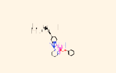 C[Si](C)(C)C#Cc1ccc2[nH]c([C@@H]3CCCCN3C(=O)OCc3ccccc3)nc2c1